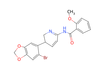 COc1ccccc1C(=O)NC1=NCC(c2cc3c(cc2Br)OCO3)C=C1